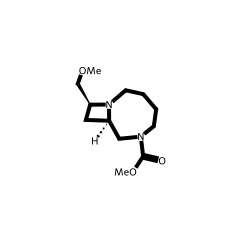 COC[C@@H]1C[C@@H]2CN(C(=O)OC)CCCCN12